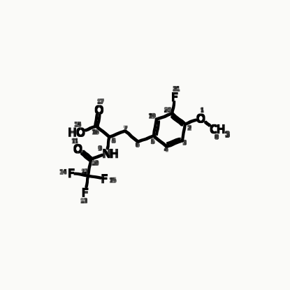 COc1ccc(CCC(NC(=O)C(F)(F)F)C(=O)O)cc1F